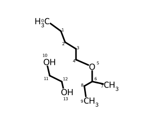 CCCCCOC(C)CC.OCCO